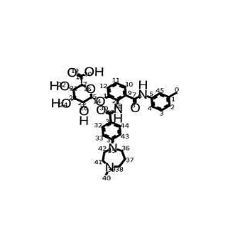 Cc1cccc(NC(=O)c2cccc(O[C@@H]3O[C@H](C(=O)O)[C@@H](O)[C@H](O)[C@H]3O)c2NC(=O)c2ccc(N3CCCN(C)CC3)cc2)c1